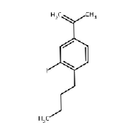 C=C(C)c1ccc(CCCC)c(I)c1